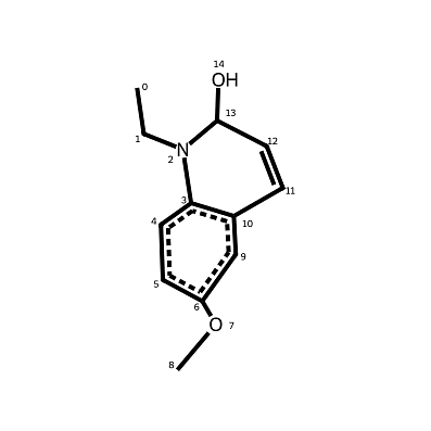 CCN1c2ccc(OC)cc2C=CC1O